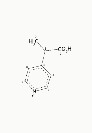 CC(C(=O)O)c1ccncc1